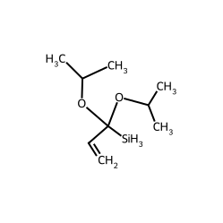 C=CC([SiH3])(OC(C)C)OC(C)C